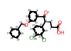 O=C(O)CC[C@H](C(=O)c1cccc(OCc2ccccc2)c1)c1ccc(Cl)c(Cl)c1